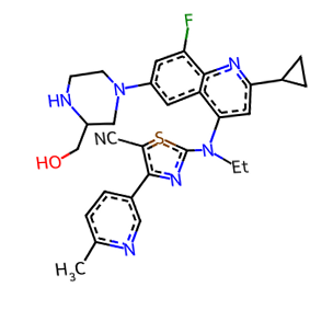 CCN(c1nc(-c2ccc(C)nc2)c(C#N)s1)c1cc(C2CC2)nc2c(F)cc(N3CCNC(CO)C3)cc12